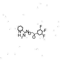 NC(=NOCC(=O)c1cc(F)c(F)c(F)c1)c1ccccn1